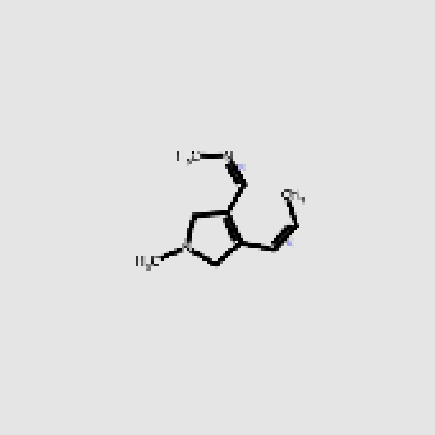 C/C=C\C1=C(/C=N\C)CN(C)C1